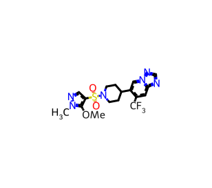 COc1c(S(=O)(=O)N2CCC(c3cn4ncnc4cc3C(F)(F)F)CC2)cnn1C